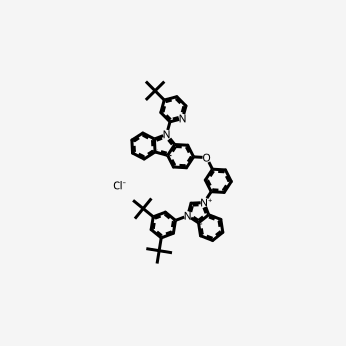 CC(C)(C)c1cc(-n2c[n+](-c3cccc(Oc4ccc5c6ccccc6n(-c6cc(C(C)(C)C)ccn6)c5c4)c3)c3ccccc32)cc(C(C)(C)C)c1.[Cl-]